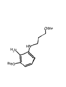 COCCCNc1cccc(OC)c1N